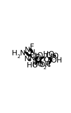 CCOC(=O)C(CC(=O)O)(OCC1O[C@@H](n2cnc3c(N)nc(F)nc32)[C@H](O)[C@@H]1O)P(=O)(O)O